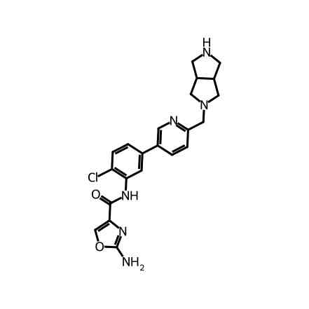 Nc1nc(C(=O)Nc2cc(-c3ccc(CN4CC5CNCC5C4)nc3)ccc2Cl)co1